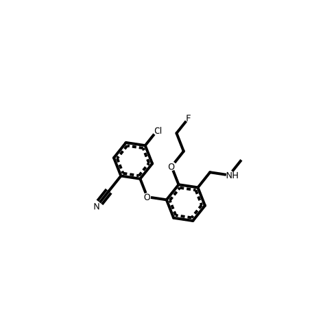 CNCc1cccc(Oc2cc(Cl)ccc2C#N)c1OCCF